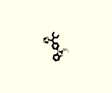 CCC(CC)C(c1ccc(N2c3ccccc3SC2N)cc1)n1cncn1